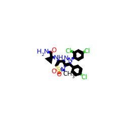 CN1c2c(nn(-c3ccc(Cl)cc3Cl)c2-c2ccc(Cl)cc2)C(NC2(C(N)=O)CC2)=CS1(=O)=O